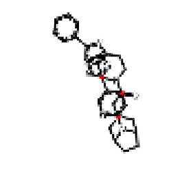 O=C(CN1CC2CCC(C1)N2c1ccc(-c2nccs2)cn1)N1CCc2nc(-c3ccccc3)sc2C1